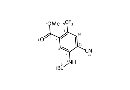 CCC(C)Nc1cc(C(=O)OC)c(C(F)(F)F)cc1C#N